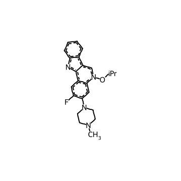 CC(C)On1cc2c3ccccc3nc-2c2cc(F)c(N3CCN(C)CC3)cc21